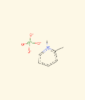 Cc1cccc[n+]1C.[O-][Cl+3]([O-])([O-])[O-]